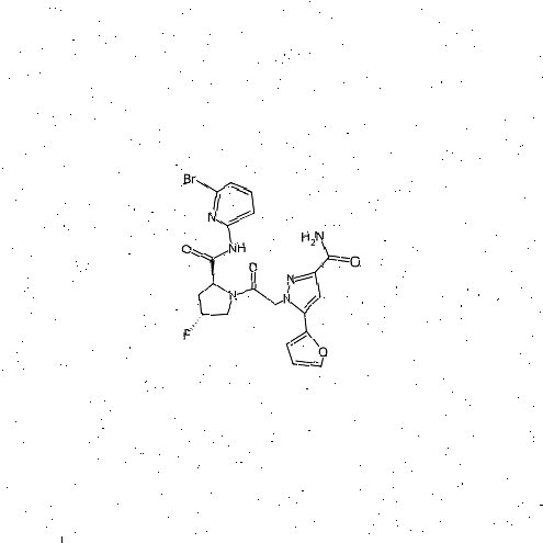 NC(=O)c1cc(-c2ccco2)n(CC(=O)N2C[C@H](F)C[C@H]2C(=O)Nc2cccc(Br)n2)n1